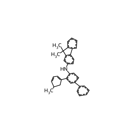 CC1C=CC=C(c2cc(-c3ccccc3)ccc2Nc2ccc3c(c2)C(C)(C)c2ccccc2-3)C1